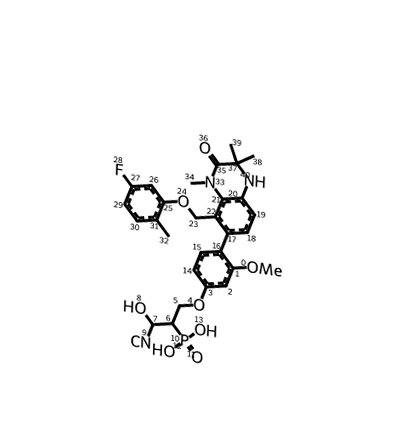 COc1cc(OCC(C(O)C#N)P(=O)(O)O)ccc1-c1ccc2c(c1COc1cc(F)ccc1C)N(C)C(=O)C(C)(C)N2